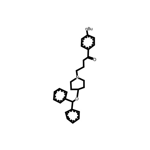 CCCCc1ccc(C(=O)CCCN2CCC(OC(c3ccccc3)c3ccccc3)CC2)cc1